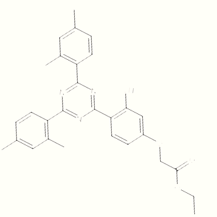 CCOC(=O)COc1ccc(-c2nc(-c3ccc(C)cc3C)nc(-c3ccc(C)cc3C)n2)c(O)c1